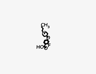 CCCCN1CCC(Oc2ccc(C(=O)O)c(F)c2)CC1